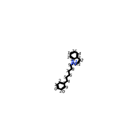 c1ccc(CCCCCCn2ccc3ccccc32)cc1